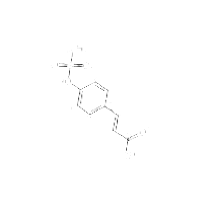 CS(=O)(=O)Oc1ccc(C=CC(=O)O)cc1